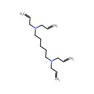 C=CCN(CC=C)CCCCCN(CC=C)CC=C